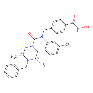 C[C@@H]1CN(C(=O)N(Cc2ccc(C(=O)NO)cc2)c2cccc(C(F)(F)F)c2)C[C@H](C)N1Cc1ccccc1